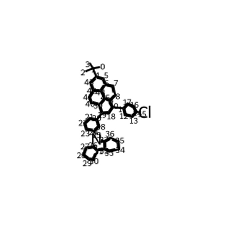 CC(C)(C)c1cc2ccc3c(-c4ccc(Cl)cc4)cc(-c4cccc(-n5c6ccccc6c6ccccc65)c4)c4ccc(c1)c2c34